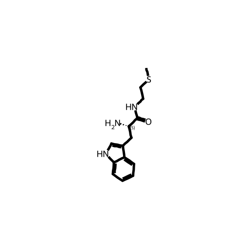 CSCCNC(=O)[C@@H](N)Cc1c[nH]c2ccccc12